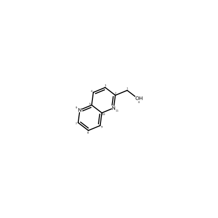 OCc1ccc2ncccc2n1